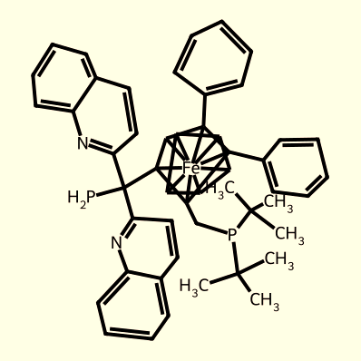 CC(C)(C)P(C[C]12[C]3(c4ccccc4)[C]4(c5ccccc5)[CH]5[C]1(C(P)(c1ccc6ccccc6n1)c1ccc6ccccc6n1)[Fe]54231678[CH]2[CH]1[CH]6[CH]7[CH]28)C(C)(C)C